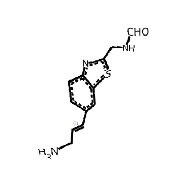 NC/C=C/c1ccc2nc(CNC=O)sc2c1